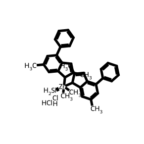 CC1=Cc2c(-c3ccccc3)cc(C)cc2[CH]1[Zr]([CH3])([CH3])(=[SiH2])[CH]1C(C)=Cc2c(-c3ccccc3)cc(C)cc21.Cl.Cl